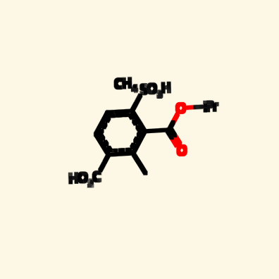 C.Cc1c(C(=O)O)ccc(S(=O)(=O)O)c1C(=O)OC(C)C